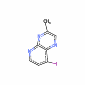 Cc1cnc2c(I)ccnc2n1